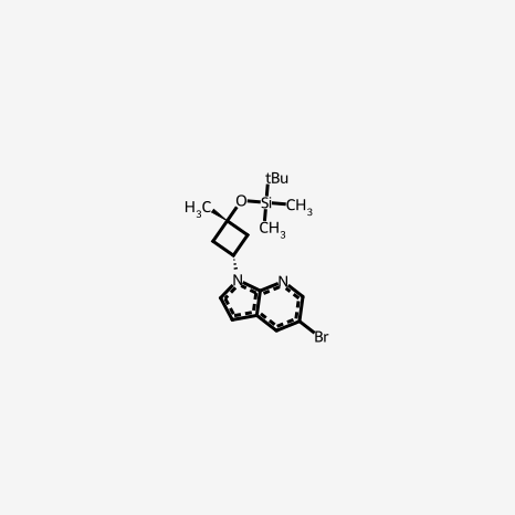 CC(C)(C)[Si](C)(C)O[C@]1(C)C[C@H](n2ccc3cc(Br)cnc32)C1